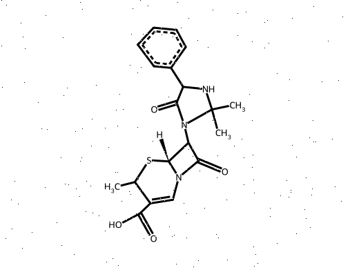 CC1S[C@@H]2C(N3C(=O)C(c4ccccc4)NC3(C)C)C(=O)N2C=C1C(=O)O